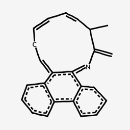 C=C1/N=c2\c(c3ccccc3c3ccccc23)=C/C/C=C\C=C/C1C